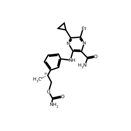 CCc1nc(C(N)=O)c(Nc2cccc([C@@H](C)COC(N)=O)c2)nc1C1CC1